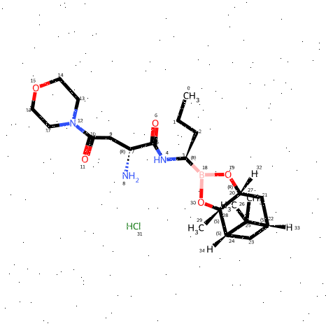 CCC[C@H](NC(=O)[C@H](N)CC(=O)N1CCOCC1)B1O[C@@H]2C[C@@H]3C[C@@H](C3(C)C)[C@]2(C)O1.Cl